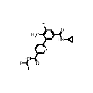 Cc1c(F)cc(C(=O)NC2CC2)cc1-c1ccc(C(=O)NC(F)F)cn1